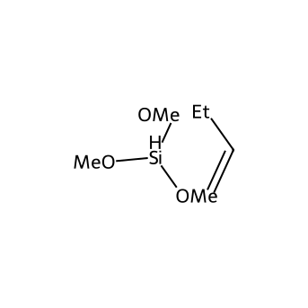 C=CCC.CO[SiH](OC)OC